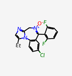 CCc1cnc2n1-c1ccc(Cl)cc1C(c1c(F)cccc1F)=[N+]([O-])C2